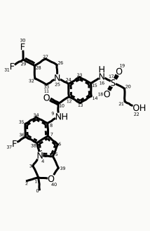 CC1(C)Cn2c(cc3c(NC(=O)c4ccc(NS(=O)(=O)CCO)cc4N4CCC(=C(F)F)CC4)ccc(F)c32)CO1